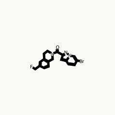 O=C(c1cc2ccc(Br)cn2n1)N1CCc2cc(CF)ccc2C1